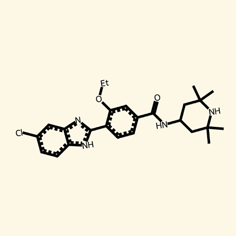 CCOc1cc(C(=O)NC2CC(C)(C)NC(C)(C)C2)ccc1-c1nc2cc(Cl)ccc2[nH]1